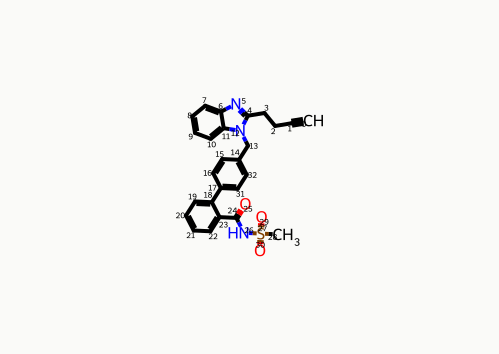 C#CCCc1nc2ccccc2n1Cc1ccc(-c2ccccc2C(=O)NS(C)(=O)=O)cc1